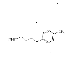 O=CCCCCc1ccc(C(F)(F)F)cc1